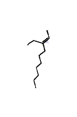 [CH2]/C=C(\CC)CCCCCCC